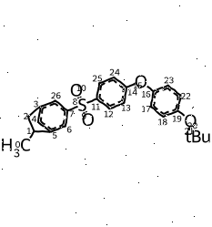 CC1Cc2cc1cc(S(=O)(=O)c1ccc(Oc3ccc(OC(C)(C)C)cc3)cc1)c2